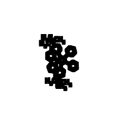 C[Si](C)(C)c1ccc(C2=C(c3ccccc3)C(c3ccccc3)=C(c3ccc([Si](C)(C)C)nc3)[Si]2(c2ccccc2)c2ccccc2)cn1